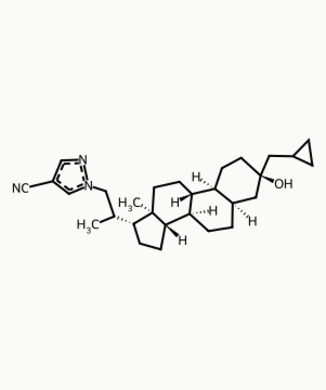 CC(Cn1cc(C#N)cn1)[C@H]1CC[C@H]2[C@@H]3CC[C@@H]4C[C@@](O)(CC5CC5)CC[C@@H]4[C@H]3CC[C@]12C